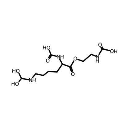 O=C(O)NCCOC(=O)C(CCCCNC(O)O)NC(=O)O